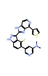 CN(C)c1cncc(-c2ccc3[nH]nc(-c4nc5c(-c6ccsc6)nccc5[nH]4)c3c2F)c1